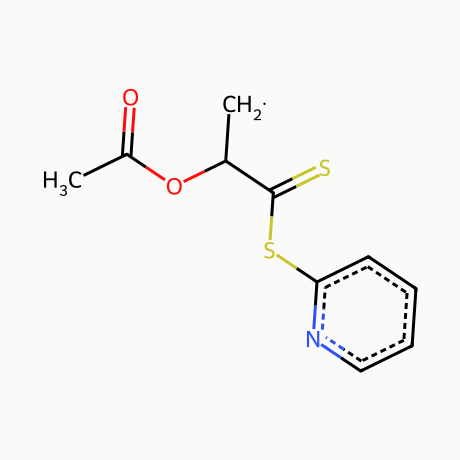 [CH2]C(OC(C)=O)C(=S)Sc1ccccn1